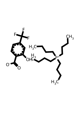 CCCC[P+](CCCC)(CCCC)CCCC.O=C([O-])c1ccc(C(F)(F)F)cc1O